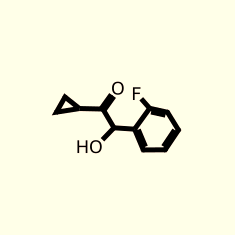 O=C(C1CC1)C(O)c1ccccc1F